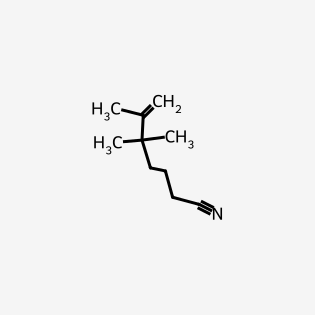 C=C(C)C(C)(C)CCCC#N